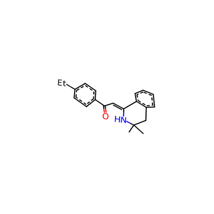 CCc1ccc(C(=O)/C=C2\NC(C)(C)Cc3ccccc32)cc1